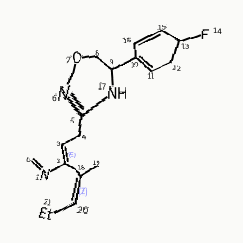 C=NC(=C/CC1=NOCC(C2=CCC(F)C=C2)N1)/C(C)=C\CC